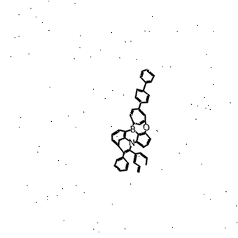 C=C/C=C(\C=C/C)C1=C(c2ccccc2)C2=CC=CC3=C(C2)N1c1cccc2c1B3C1C=CC(c3ccc(-c4ccccc4)cc3)=CC(=C1)O2